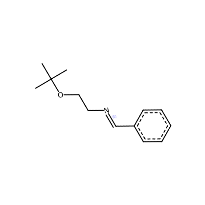 CC(C)(C)OCC/N=C/c1ccccc1